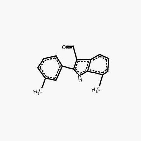 Cc1cccc(-c2[nH]c3c(C)cccc3c2C=O)c1